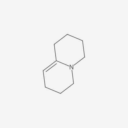 C1=C2CCCCN2CCC1